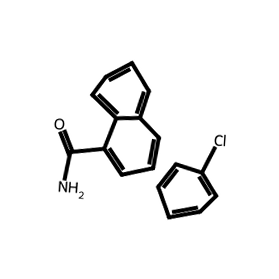 Clc1ccccc1.NC(=O)c1cccc2ccccc12